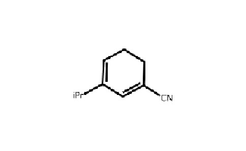 CC(C)C1=CCCC(C#N)=C1